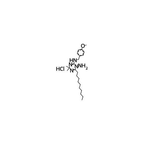 CCCCCCCCCCC1=NC(C)(C)N=C(NCc2ccc(OC)cc2)N1N.Cl